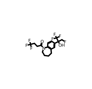 O=C(CCC(F)(F)F)N1CCCCc2cc(C(O)(CF)C(F)(F)F)ccc21